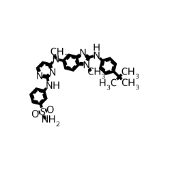 CN(c1ccc2c(c1)nc(Nc1ccc(C(C)(C)C)cc1)n2C)c1ccnc(Nc2cccc(S(N)(=O)=O)c2)n1